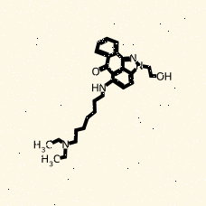 CCN(CC)CCCCCCCNc1ccc2c3c(nn2CCO)-c2ccccc2C(=O)c13